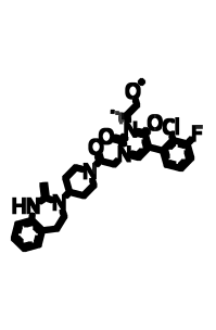 C=C1Nc2ccccc2CCN1C1CCN(C(=O)Cn2cc(-c3cccc(F)c3Cl)c(=O)n([C@H](C)COC)c2=O)CC1